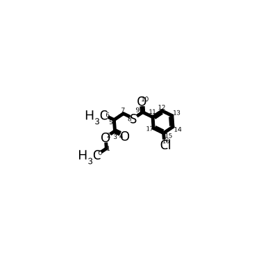 CCOC(=O)C(C)CSC(=O)c1cccc(Cl)c1